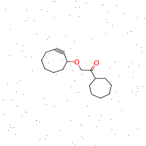 O=C(COC1C#CCCCCC1)C1CCCCCC1